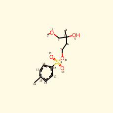 COCC(C)(O)CCOS(=O)(=O)c1ccc(C)cc1